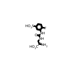 N[C@@H](CNC(=O)Nc1cc(S(=O)(=O)O)ccc1F)C(=O)O